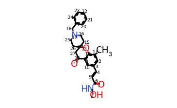 Cc1cc(C=CC(=O)NO)cc2c1OC1(CCN(Cc3ccccc3)CC1)CC2=O